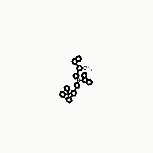 CC1C=C(c2cccc(N(c3ccc(-c4ccc5c(c4)C(c4ccccc4)(c4ccccc4)c4ccccc4-5)cc3)c3cc4ccccc4c4ccccc34)c2)C=C(c2cccc3ccccc23)C1